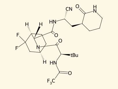 CC(C)(C)[C@@H](NC(=O)C(F)(F)F)C(=O)N1[C@H]2CC[C@@H]([C@@H]1C(=O)N[C@H](C#N)C[C@@H]1CCCNC1=O)C(F)(F)C2